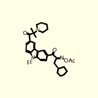 CCn1c2ccc(C(=O)/C(CC3CCCCC3)=N/OC(C)=O)cc2c2cc(C(=O)C(C)(C)N3CCCCC3)ccc21